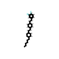 CCCCCCC1CCC(CCC2CCC(CCc3ccc(F)c(F)c3)CC2)CC1